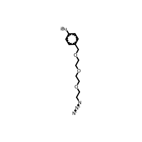 CCC(C)c1ccc(COCCOCCOCCN=[N+]=[N-])cc1